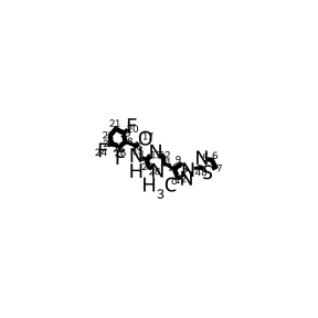 Cc1nn(-c2nccs2)cc1-c1cnc(NC(=O)c2c(F)ccc(F)c2F)cn1